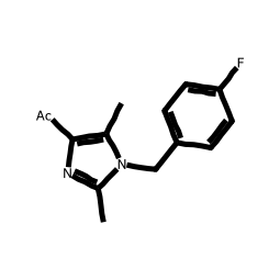 CC(=O)c1nc(C)n(Cc2ccc(F)cc2)c1C